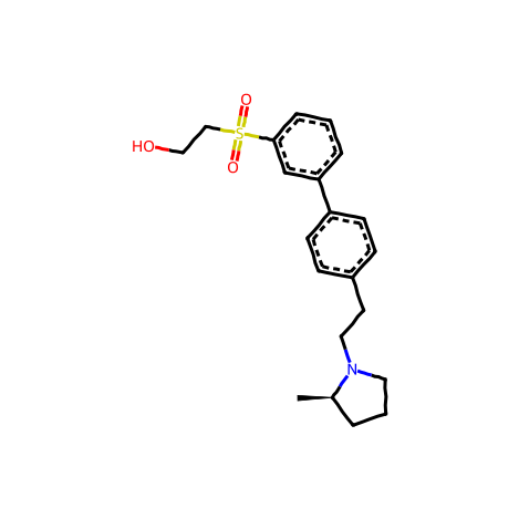 C[C@@H]1CCCN1CCc1ccc(-c2cccc(S(=O)(=O)CCO)c2)cc1